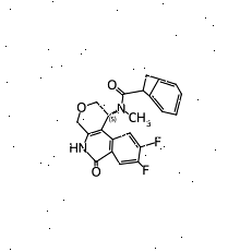 CN(C(=O)C1Cc2ccccc21)[C@@H]1COCc2[nH]c(=O)c3cc(F)c(F)cc3c21